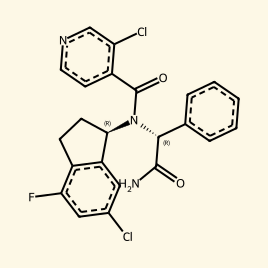 NC(=O)[C@@H](c1ccccc1)N(C(=O)c1ccncc1Cl)[C@@H]1CCc2c(F)cc(Cl)cc21